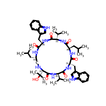 CC(C)C[C@H]1CN[C@@H](C(C)(C)O)C(=O)N[C@H](C(C)C)C(=O)N[C@@H](Cc2c[nH]c3ccccc23)C(=O)N[C@H](CC(C)C)C(=O)N[C@@H](C(C)C)C(=O)N[C@H](Cc2c[nH]c3ccccc23)C(=O)N1